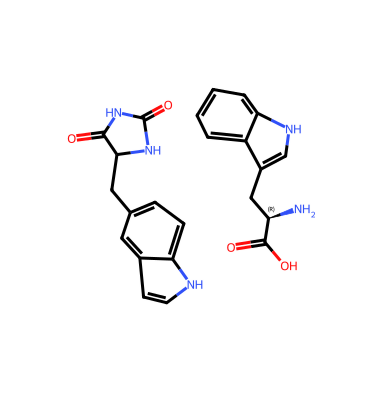 N[C@H](Cc1c[nH]c2ccccc12)C(=O)O.O=C1NC(=O)C(Cc2ccc3[nH]ccc3c2)N1